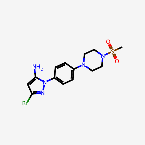 CS(=O)(=O)N1CCN(c2ccc(-n3nc(Br)cc3N)cc2)CC1